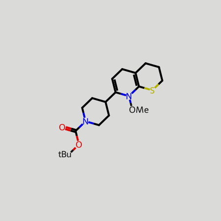 CON1C(C2CCN(C(=O)OC(C)(C)C)CC2)=CCC2=C1SCCC2